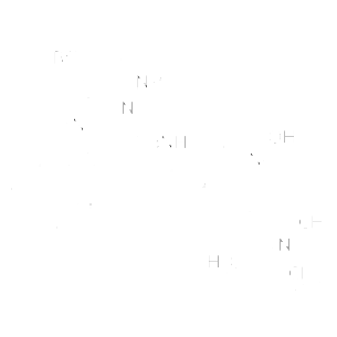 C\C(=C/C=C(\C=N\O)CNc1cc(-c2ccccc2)nc2c(Br)cnn12)N(C)C